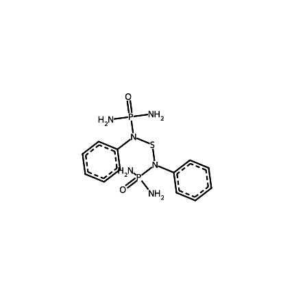 NP(N)(=O)N(SN(c1ccccc1)P(N)(N)=O)c1ccccc1